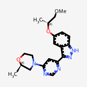 COC[C@@H](C)Oc1ccc2[nH]nc(-c3cc(N4CCO[C@H](C)C4)ncn3)c2c1